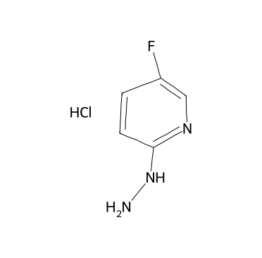 Cl.NNc1ccc(F)cn1